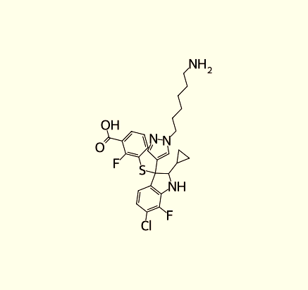 NCCCCCCn1cc(C2(Sc3cccc(C(=O)O)c3F)c3ccc(Cl)c(F)c3NC2C2CC2)cn1